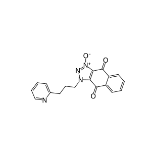 O=C1c2ccccc2C(=O)c2c1n(CCCc1ccccn1)n[n+]2[O-]